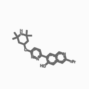 CCCc1cc2cc(O)c(-c3ccc(OC4CC(C)(C)NC(C)(C)C4)nn3)cc2cn1